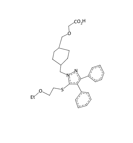 CCOCCSc1c(-c2ccccc2)c(-c2ccccc2)nn1CC1CCC(COCC(=O)O)CC1